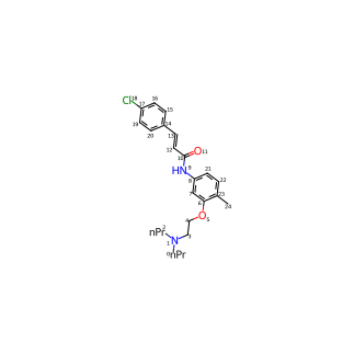 CCCN(CCC)CCOc1cc(NC(=O)C=Cc2ccc(Cl)cc2)ccc1C